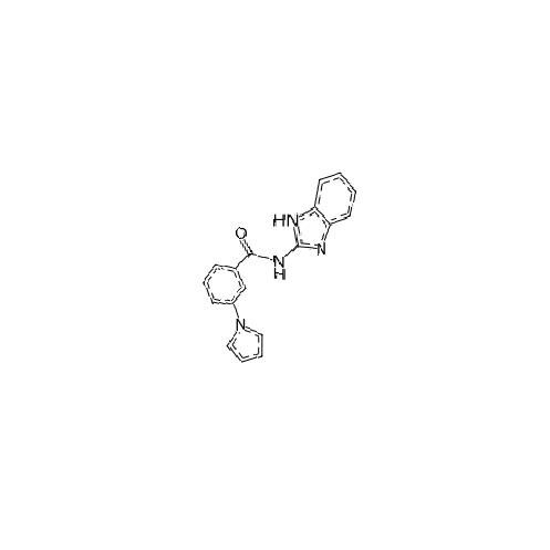 O=C(Nc1nc2ccccc2[nH]1)c1cccc(-n2cccc2)c1